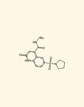 CCCCNC(=O)c1cc(=O)[nH]c2ccc(S(=O)(=O)N3CCCC3)cc12